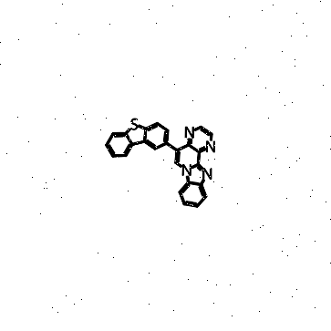 c1ccc2c(c1)nc1c3nccnc3c(-c3ccc4sc5ccccc5c4c3)cn21